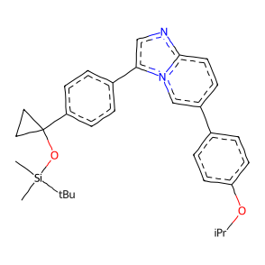 CC(C)Oc1ccc(-c2ccc3ncc(-c4ccc(C5(O[Si](C)(C)C(C)(C)C)CC5)cc4)n3c2)cc1